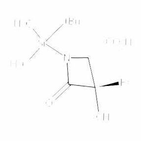 CC[C@@]1(C)C(=O)N([Si](C)(C)C(C)(C)C)[C@@H]1C(=O)O